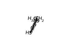 C=C(C)C(=O)OCCOCCOCCCS